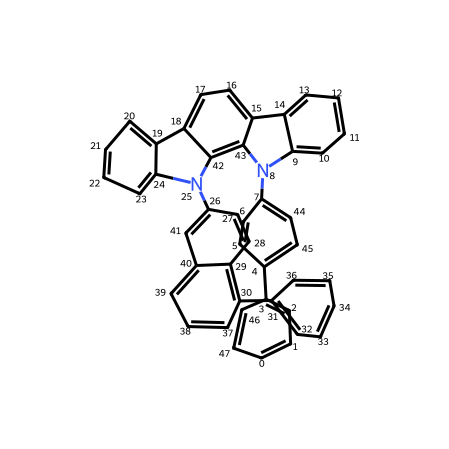 c1ccc(-c2ccc(-n3c4ccccc4c4ccc5c6ccccc6n(-c6ccc7c(-c8ccccc8)cccc7c6)c5c43)cc2)cc1